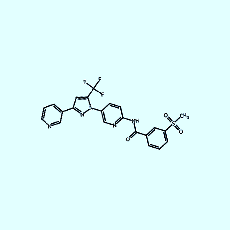 CS(=O)(=O)c1cccc(C(=O)Nc2ccc(-n3nc(-c4cccnc4)cc3C(F)(F)F)cn2)c1